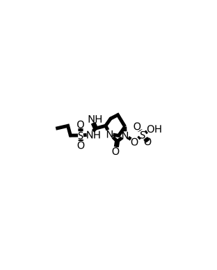 CCCS(=O)(=O)NC(=N)C1CCC2CN1C(=O)N2OS(=O)(=O)O